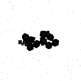 CC1(C2C=CC=CC2)Oc2cccc(-c3ccc(-c4nc(-c5cccc(-c6ccccc6)c5)nc(-c5cccc6sc7ccccc7c56)n4)cc3)c2-c2ccccc21